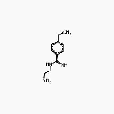 CCc1ccc(C(=N)NCCN)cc1